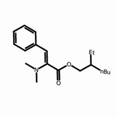 CCCCC(CC)COC(=O)C(=Cc1ccccc1)N(C)C